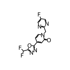 O=c1cc(-c2nnc(C(F)F)o2)ccn1Cc1ncc(F)cn1